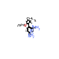 CCCOc1cc(C)ccc1-c1ccc(N)nc1N